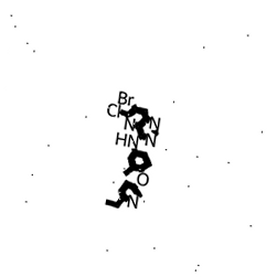 CCc1ccc(Oc2ccc(Nc3ncnc4cc(Br)c(Cl)nc34)cc2C)cn1